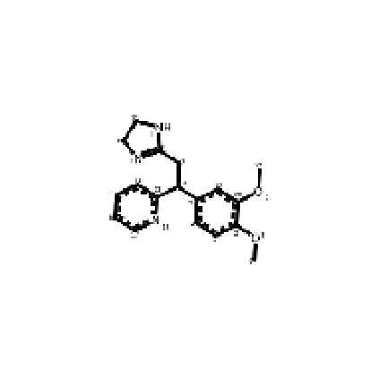 COc1ccc(C(CC2=NCCN2)c2ccccn2)cc1OC